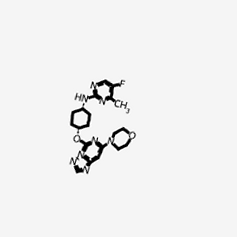 Cc1nc(N[C@H]2CC[C@@H](Oc3nc(N4CCOCC4)cc4ncnn34)CC2)ncc1F